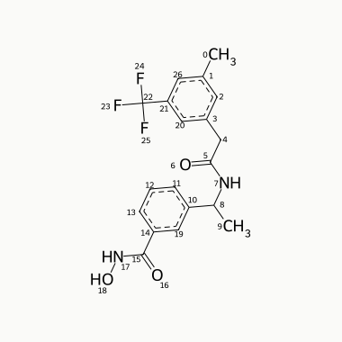 Cc1cc(CC(=O)NC(C)c2cccc(C(=O)NO)c2)cc(C(F)(F)F)c1